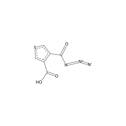 [N-]=[N+]=NC(=O)c1cscc1C(=O)O